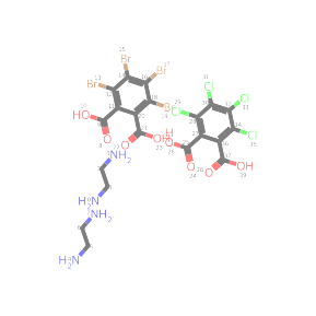 NCCN.NCCN.O=C(O)c1c(Br)c(Br)c(Br)c(Br)c1C(=O)O.O=C(O)c1c(Cl)c(Cl)c(Cl)c(Cl)c1C(=O)O